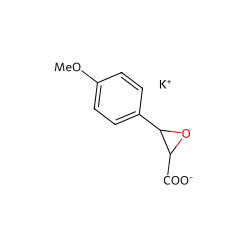 COc1ccc(C2OC2C(=O)[O-])cc1.[K+]